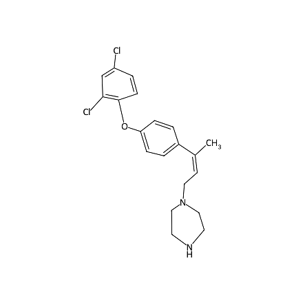 CC(=CCN1CCNCC1)c1ccc(Oc2ccc(Cl)cc2Cl)cc1